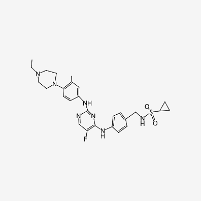 CCN1CCN(c2ccc(Nc3ncc(F)c(Nc4ccc(CNS(=O)(=O)C5CC5)cc4)n3)cc2C)CC1